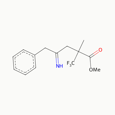 COC(=O)C(C)(CC(=N)Cc1ccccc1)C(F)(F)F